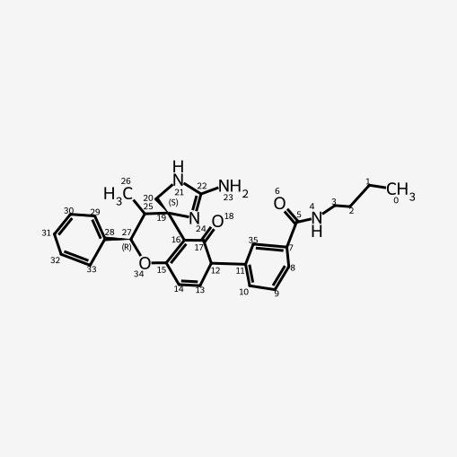 CCCCNC(=O)c1cccc(C2C=CC3=C(C2=O)[C@]2(CNC(N)=N2)C(C)[C@H](c2ccccc2)O3)c1